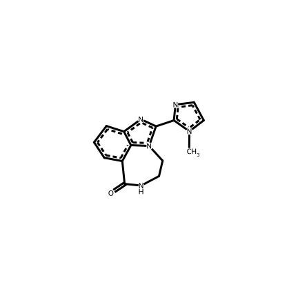 Cn1ccnc1-c1nc2cccc3c2n1CCNC3=O